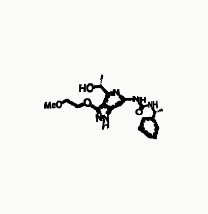 COCCOc1n[nH]c2cc(NC(=O)N[C@H](C)c3ccccc3)nc([C@@H](C)O)c12